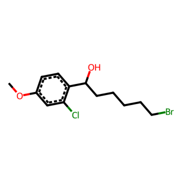 COc1ccc(C(O)CCCCCBr)c(Cl)c1